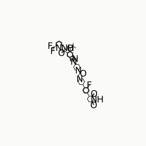 CC(C)Oc1cc2nn(C3CCN(C(=O)CN4CCC(c5ccc(C6CCC(=O)NC6=O)cc5F)CC4)CC3)cc2cc1C(=O)Nc1cccc(C(F)F)n1